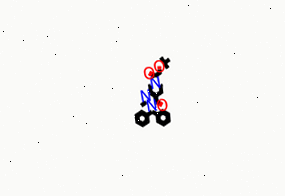 Cc1nc2c(c(=O)n1C(c1ccccc1)c1ccccc1)CCN(C(=O)COC(C)(C)C)C2